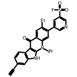 C#Cc1ccc2c(c1)[nH]c1c2c(=O)c2cc(CC)c(-c3cncc(S(=O)(=O)F)c3)cc2n1C(C)C